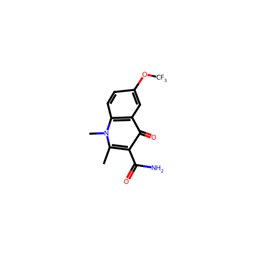 Cc1c(C(N)=O)c(=O)c2cc(OC(F)(F)F)ccc2n1C